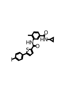 Cc1ccc(C(=O)NC2CC2)cc1NC(=O)c1ccc(-c2ccc(I)cc2)s1